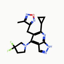 Cc1nonc1Cc1c(C2CC2)nc2[nH]ncc2c1N1CCC(F)(F)C1